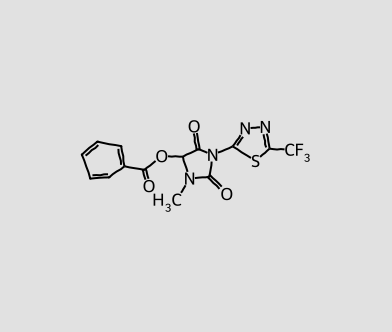 CN1C(=O)N(c2nnc(C(F)(F)F)s2)C(=O)C1OC(=O)c1ccccc1